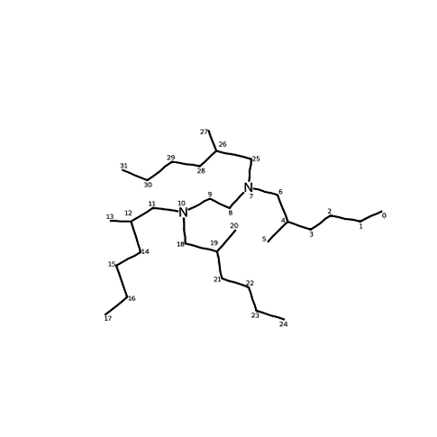 CCCCC(C)CN(CCN(CC(C)CCCC)CC(C)CCCC)CC(C)CCCC